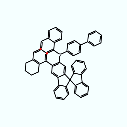 c1ccc(-c2ccc(N(c3cc4c(cc3-c3cccc5c3CCCC5)-c3ccccc3C43c4ccccc4-c4ccccc43)c3cccc4ccccc34)cc2)cc1